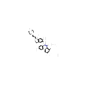 Cc1cc(C(=O)O)ccc1/C(C=O)=C(/Nc1ccc2c(c1)CCN2C(=O)CN1CCN(C)CC1)c1ccc(F)cc1